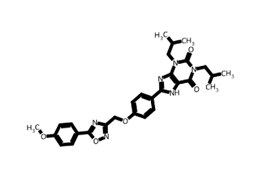 COc1ccc(-c2nc(COc3ccc(-c4nc5c([nH]4)c(=O)n(CC(C)C)c(=O)n5CC(C)C)cc3)no2)cc1